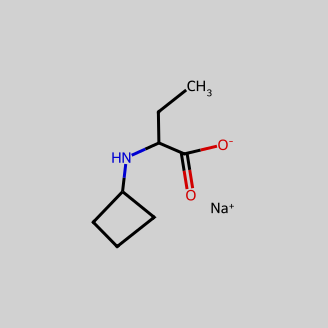 CCC(NC1CCC1)C(=O)[O-].[Na+]